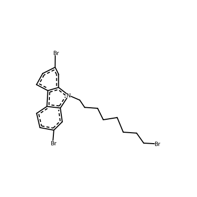 BrCCCCCCCCn1c2cc(Br)ccc2c2ccc(Br)cc21